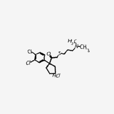 CN(C)CCCSCC(=O)C1(c2ccc(Cl)c(Cl)c2)CCCC1.Cl